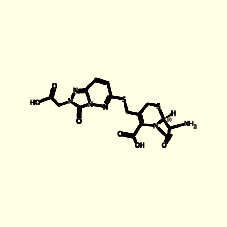 NC1C(=O)N2C(C(=O)O)=C(CSc3ccc4nn(CC(=O)O)c(=O)n4n3)CS[C@@H]12